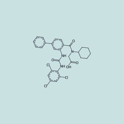 O=C(O)CN(C(=O)c1ccc(-c2ccccc2)cc1NC(=O)Nc1c(Cl)cc(Cl)cc1Cl)C1CCCCC1